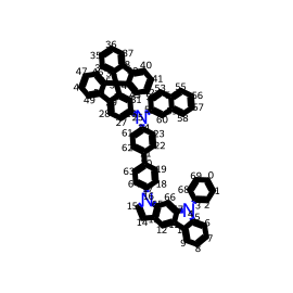 c1ccc(-n2c3ccccc3c3cc4ccn(-c5ccc(-c6ccc(N(c7ccc8c(c7)C7(c9ccccc9-c9ccccc97)c7ccccc7-8)c7ccc8ccccc8c7)cc6)cc5)c4cc32)cc1